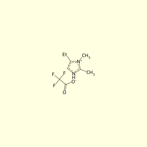 CCc1c[nH]c(C)[n+]1C.O=C([O-])C(F)(F)F